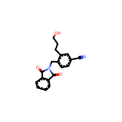 N#Cc1ccc(CN2C(=O)c3ccccc3C2=O)c(CCCO)c1